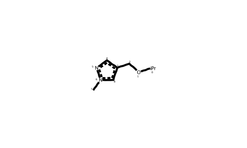 CC(C)OCc1cnn(C)c1